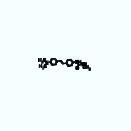 CNC(=O)Nc1ccc(C=Cc2ccc(N(C)C)cc2)cc1